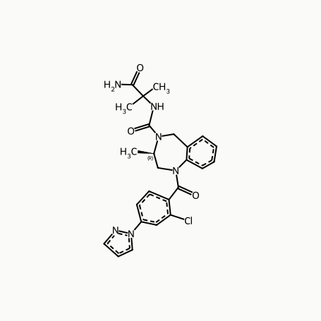 C[C@@H]1CN(C(=O)c2ccc(-n3cccn3)cc2Cl)c2ccccc2CN1C(=O)NC(C)(C)C(N)=O